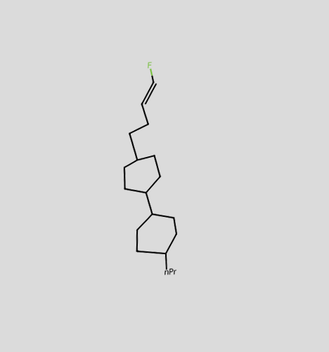 CCCC1CCC(C2CCC(CCC=CF)CC2)CC1